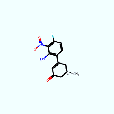 C[C@@H]1CC(=O)C=C(c2ccc(F)c([N+](=O)[O-])c2N)C1